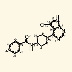 O=C(NC1CCN(c2ncnc3[nH]cc(Cl)c23)CC1)c1ccccc1